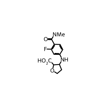 CNC(=O)c1ccc(NC2CCOC2C(=O)O)cc1F